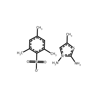 Cc1c[n+](N)c(N)s1.Cc1cc(C)c(S(=O)(=O)[O-])c(C)c1